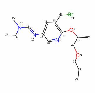 CCCOC[C@H](C)Oc1ncc(N=CN(C)CC)cc1CBr